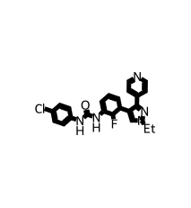 CCn1cc(C2C=CC=C(NC(=O)Nc3ccc(Cl)cc3)C2F)c(-c2ccncc2)n1